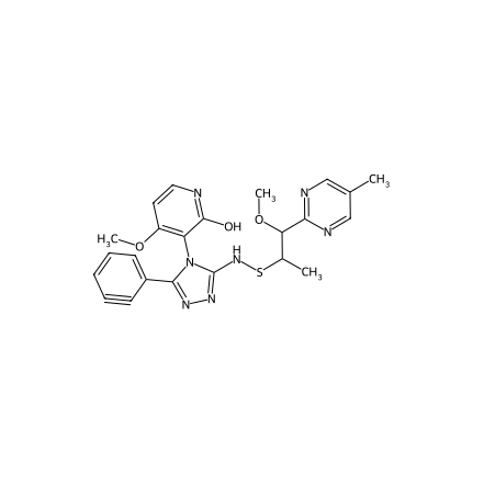 COc1ccnc(O)c1-n1c(NSC(C)C(OC)c2ncc(C)cn2)nnc1-c1c#cccc1